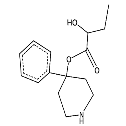 CCC(O)C(=O)OC1(c2ccccc2)CCNCC1